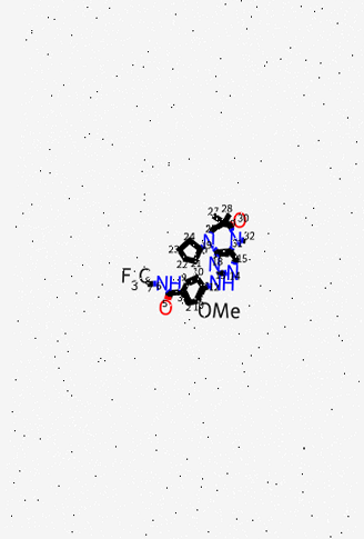 COc1cc(C(=O)NCC(F)(F)F)ccc1Nc1ncc2c(n1)N(C1CCCC1)CC(C)(C)C(=O)N2C